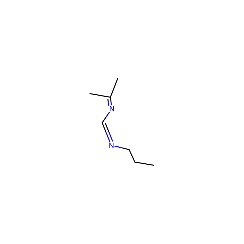 CCC/N=C\N=C(C)C